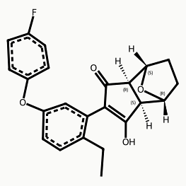 CCc1ccc(Oc2ccc(F)cc2)cc1C1=C(O)[C@H]2[C@@H](C1=O)[C@@H]1CC[C@H]2O1